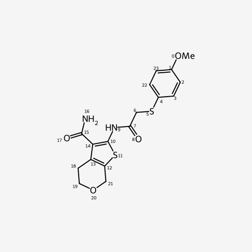 COc1ccc(SCC(=O)Nc2sc3c(c2C(N)=O)CCOC3)cc1